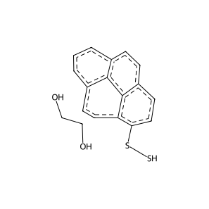 OCCO.SSc1ccc2ccc3cccc4ccc1c2c34